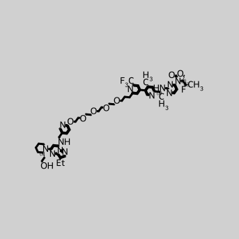 CCc1cnn2c(NCc3ccc(OCCOCCOCCOCCOCCCc4cc(-c5cnc([C@H](C)Nc6nccc(N7C(=O)OC[C@@H]7[C@H](C)F)n6)cc5C)cc(C(F)(F)F)n4)nc3)cc(N3CCCC[C@H]3CCO)nc12